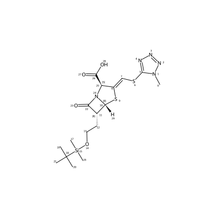 Cn1nnnc1SC=C1S[C@@H]2[C@H](CCO[Si](C)(C)C(C)(C)C)C(=O)N2[C@H]1C(=O)O